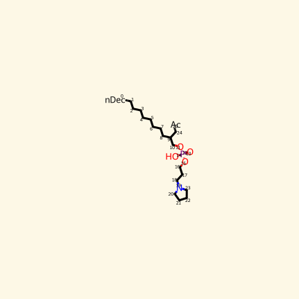 CCCCCCCCCCCCCCCCCCC(COP(=O)(O)OCCCN1CCCC1)CC(C)=O